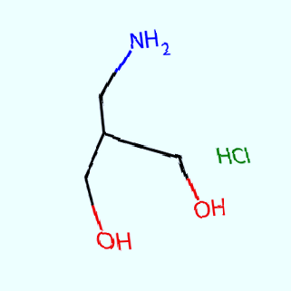 Cl.NCC(CO)CO